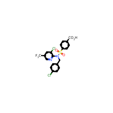 O=C(O)c1ccc(S(=O)(=O)N(Cc2ccc(Cl)cc2)c2ncc(C(F)(F)F)cc2Cl)cc1